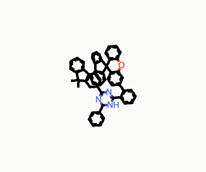 CC1(C)C2=C(C=CC(C3=NC(c4ccccc4)NC(c4ccccc4-c4ccc5c(c4)Oc4ccccc4C54c5ccccc5-c5ccccc54)=N3)C2)c2ccccc21